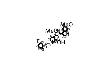 CON[C@@H](CC[C@@H]1CCN(CCSc2cc(F)ccc2F)C[C@@H]1CO)c1ccnc2ccc(OC)cc12